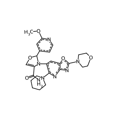 COc1cc(C2OC=C(C(N)=O)N2c2cc3oc(N4CCOCC4)nc3nc2N2CCCCC2)ccn1